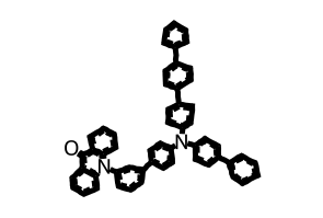 O=c1c2ccccc2n(-c2cccc(-c3ccc(N(c4ccc(-c5ccccc5)cc4)c4ccc(-c5ccc(-c6ccccc6)cc5)cc4)cc3)c2)c2ccccc12